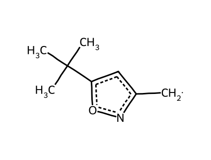 [CH2]c1cc(C(C)(C)C)on1